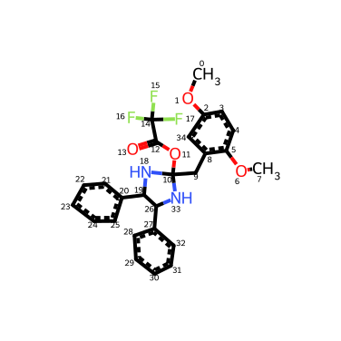 COc1ccc(OC)c(CC2(OC(=O)C(F)(F)F)NC(c3ccccc3)C(c3ccccc3)N2)c1